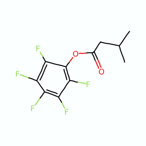 CC(C)CC(=O)Oc1c(F)c(F)c(F)c(F)c1F